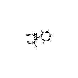 C=C[SiH](c1ccccc1)N(C)C